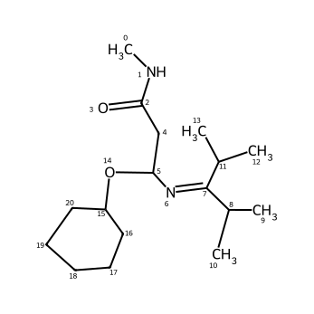 CNC(=O)CC(N=C(C(C)C)C(C)C)OC1CCCCC1